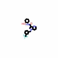 O=C(N[C@H]1CCCC[C@@H]1O)c1cn(Cc2cccc(C(F)(F)F)c2)c2cccnc12